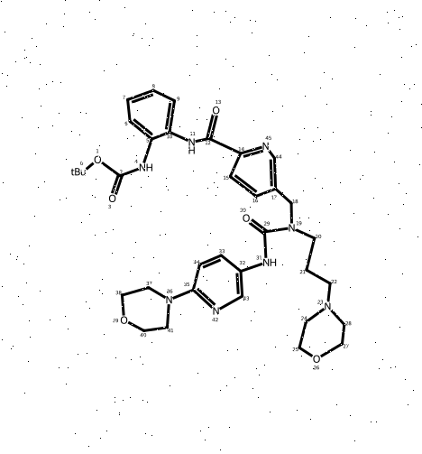 CC(C)(C)OC(=O)Nc1ccccc1NC(=O)c1ccc(CN(CCCN2CCOCC2)C(=O)Nc2ccc(N3CCOCC3)nc2)cn1